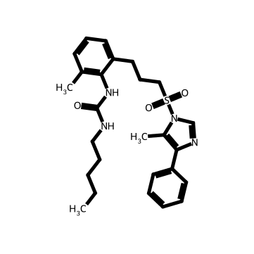 CCCCCNC(=O)Nc1c(C)cccc1CCCS(=O)(=O)n1cnc(-c2ccccc2)c1C